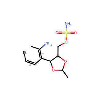 CC/C=C\C(=C(/C)N)C1OC(C)OC1COS(N)(=O)=O